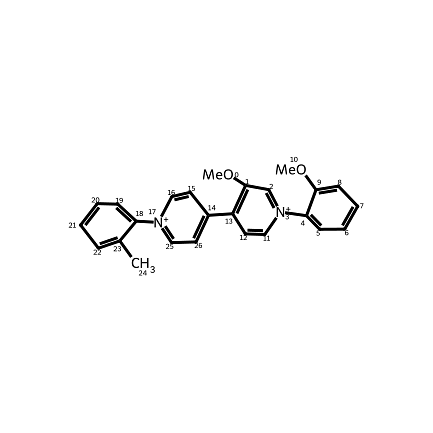 COc1c[n+](-c2ccccc2OC)ccc1-c1cc[n+](-c2ccccc2C)cc1